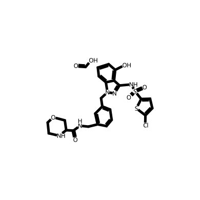 O=C(NCc1cccc(Cn2nc(NS(=O)(=O)c3ccc(Cl)s3)c3c(O)cccc32)c1)C1COCCN1.O=CO